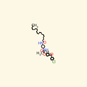 CC/C=C\C/C=C\C/C=C\C/C=C\C/C=C\CCCC(=O)N[C@H]1CC[C@H](NC(=O)C(C)(C)Oc2ccc(C(=O)c3ccc(Cl)cc3)cc2)CC1